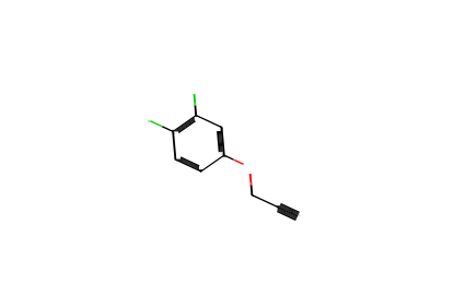 C#CCOc1[c]cc(Cl)c(Cl)c1